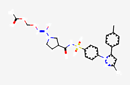 Cc1ccc(-c2cc(C(F)(F)F)nn2-c2ccc(S(=O)(=O)NC(=O)C3CCN(/[N+]([O-])=N/OCOC(=O)C(C)(C)C)C3)cc2)cc1